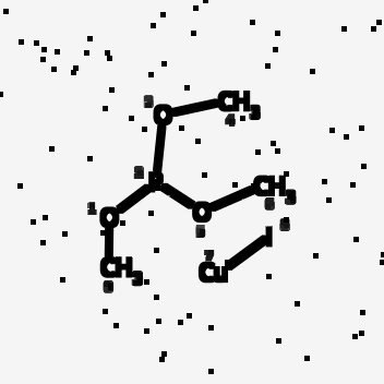 COP(OC)OC.[Cu][I]